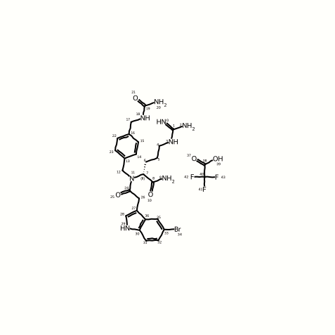 N=C(N)NCCC[C@H](C(N)=O)N(Cc1ccc(CNC(N)=O)cc1)C(=O)Cc1c[nH]c2ccc(Br)cc12.O=C(O)C(F)(F)F